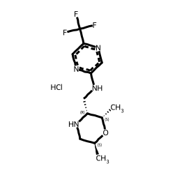 C[C@@H]1O[C@@H](C)CN[C@@H]1CNc1cnc(C(F)(F)F)cn1.Cl